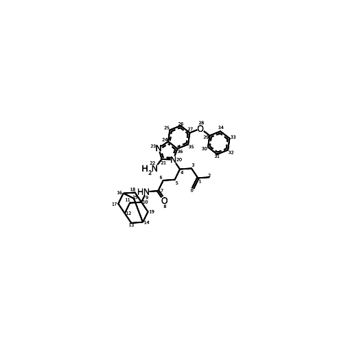 C=C(C)CC(CCC(=O)NC12CC3CC(CC(C3)C1)C2)n1c(N)nc2ccc(Oc3ccccc3)cc21